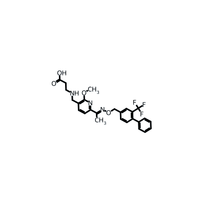 COc1nc(C(C)=NOCc2ccc(-c3ccccc3)c(C(F)(F)F)c2)ccc1CNCCC(=O)O